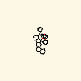 c1ccc(N(c2ccccc2)c2cccc3c2C(c2ccccc2)(c2ccccc2)c2cc4c(ccc5ccccc54)cc2-3)cc1